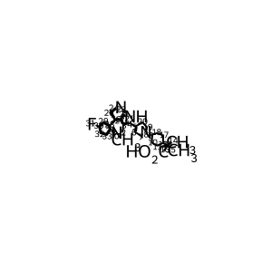 CN1Cc2c(C3=CCN(C4CCC(C(C)(C)C(=O)O)CC4)CC3)[nH]c3nccc(c23)-c2cc(F)ccc21